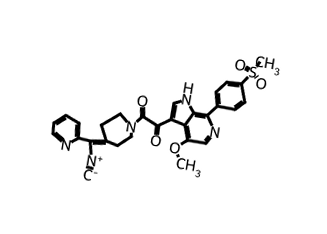 [C-]#[N+]C(=C1CCN(C(=O)C(=O)c2c[nH]c3c(-c4ccc(S(C)(=O)=O)cc4)ncc(OC)c23)CC1)c1ccccn1